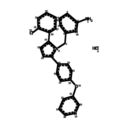 Cl.Nc1cccc(Cn2c(-c3ccc(Oc4cccnc4)cc3)ccc2-c2ccccc2Cl)n1